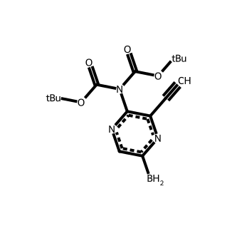 Bc1cnc(N(C(=O)OC(C)(C)C)C(=O)OC(C)(C)C)c(C#C)n1